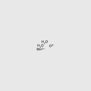 O.O.[Mn+2].[O-2]